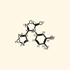 O=c1onc(-c2[c]non2)n1-c1ccc(F)c(Br)c1